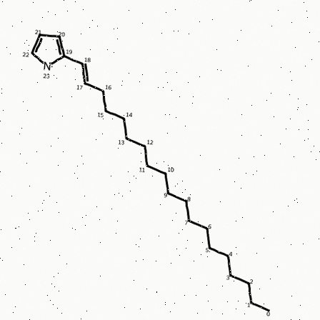 CCCCCCCCCCCCCCCCCC=CC1=CC=C[N]1